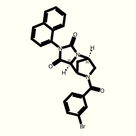 O=C1[C@@H]2C3C[C@H](CN3C(=O)c3cccc(Br)c3)N2C(=O)N1c1cccc2ccccc12